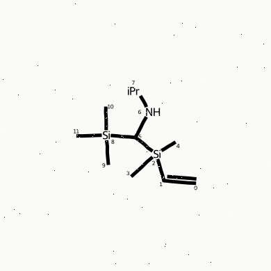 C=C[Si](C)(C)C(NC(C)C)[Si](C)(C)C